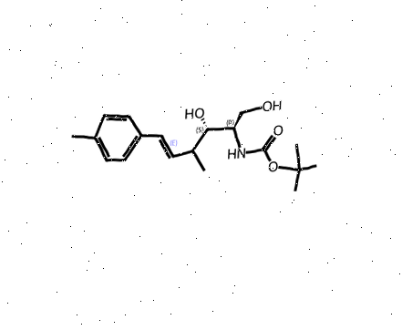 Cc1ccc(/C=C/C(C)[C@H](O)[C@@H](CO)NC(=O)OC(C)(C)C)cc1